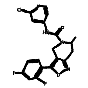 CC1Cc2noc(-c3ccc(F)cc3F)c2CN1C(=O)Nc1ccnc(Cl)c1